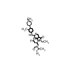 CCn1c(=O)c2cnc(Nc3ccc(C4CCN(C)CC4)c(C)c3)nc2n1C(/C=C(\C)F)=C/N(C=O)C(C)C